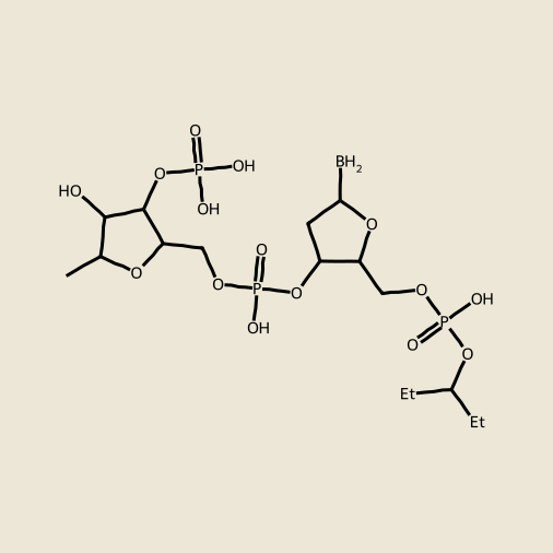 BC1CC(OP(=O)(O)OCC2OC(C)C(O)C2OP(=O)(O)O)C(COP(=O)(O)OC(CC)CC)O1